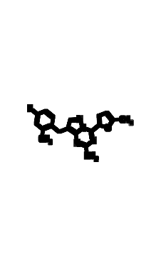 Cc1ccc(-c2nc(N)nc3c(Cc4ccc(F)cc4C)cnn23)o1